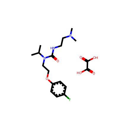 CC(C)N(CCOc1ccc(F)cc1)C(=O)NCCN(C)C.O=C(O)C(=O)O